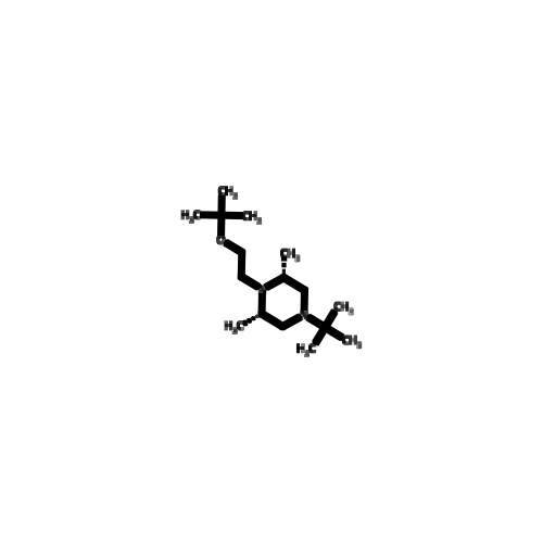 C[C@@H]1CN(C(C)(C)C)C[C@H](C)N1CCOC(C)(C)C